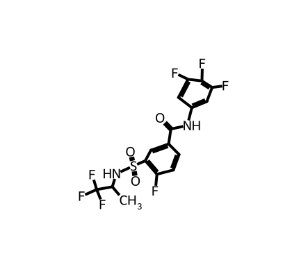 CC(NS(=O)(=O)c1cc(C(=O)Nc2cc(F)c(F)c(F)c2)ccc1F)C(F)(F)F